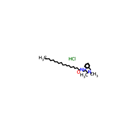 CCCCCCCCCCCCCCCCCC(=O)NCCC(C)N(C)Cc1ccccc1.Cl